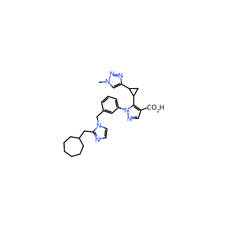 Cn1cc(C2CC2c2c(C(=O)O)cnn2-c2cccc(Cn3ccnc3CC3CCCCCC3)c2)nn1